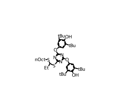 CCCCCCCCSC(CC)Sc1nc(Oc2cc(C(C)(C)C)c(O)c(C(C)(C)C)c2)nc(Oc2cc(C(C)(C)C)c(O)c(C(C)(C)C)c2)n1